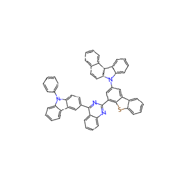 c1ccc(-n2c3ccccc3c3cc(-c4nc(-c5cc(-n6c7ccccc7c7c8ccccc8ccc76)cc6c5sc5ccccc56)nc5ccccc45)ccc32)cc1